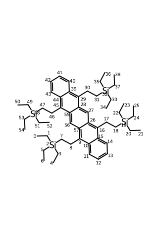 CC[Si](CC)(CC)CCc1c2ccccc2c(CC[Si](CC)(CC)CC)c2cc3c(CC[Si](CC)(CC)CC)c4ccccc4c(CC[Si](CC)(CC)CC)c3cc12